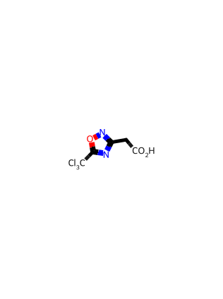 O=C(O)Cc1noc(C(Cl)(Cl)Cl)n1